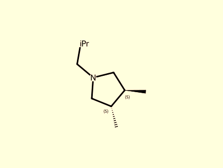 CC(C)CN1C[C@@H](C)[C@H](C)C1